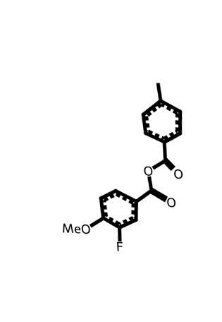 COc1ccc(C(=O)OC(=O)c2ccc(C)cc2)cc1F